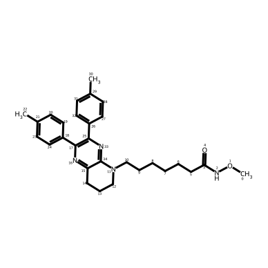 CONC(=O)CCCCCCN1CCCc2nc(-c3ccc(C)cc3)c(-c3ccc(C)cc3)nc21